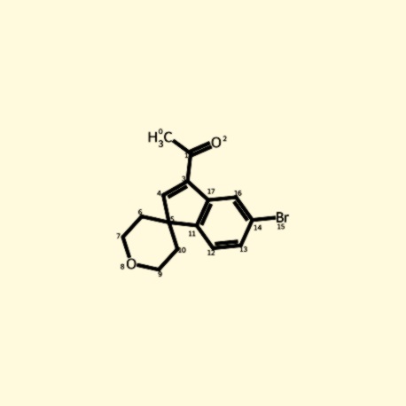 CC(=O)C1=CC2(CCOCC2)c2ccc(Br)cc21